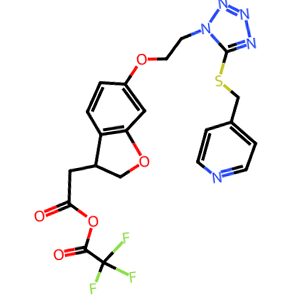 O=C(CC1COc2cc(OCCn3nnnc3SCc3ccncc3)ccc21)OC(=O)C(F)(F)F